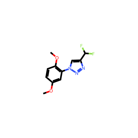 COc1ccc(OC)c(-n2cc(C(F)F)nn2)c1